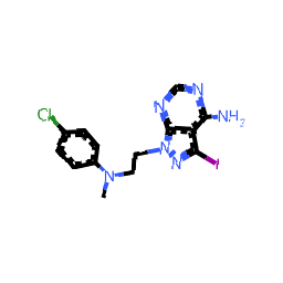 CN(CCn1nc(I)c2c(N)ncnc21)c1ccc(Cl)cc1